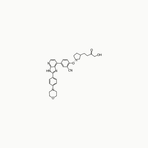 N#Cc1cc(-c2ccnc3[nH]c(-c4ccc(N5CCOCC5)cc4)nc23)ccc1O[C@@H]1CCC(CCC(=O)CO)C1